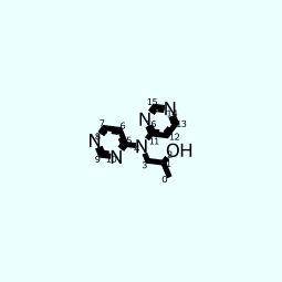 CC(O)CN(c1ccncn1)c1ccncn1